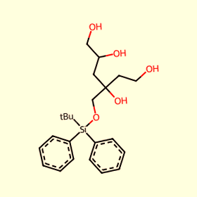 CC(C)(C)[Si](OCC(O)(CCO)CC(O)CO)(c1ccccc1)c1ccccc1